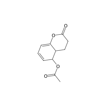 CC(=O)OC1C=CC=C2OC(=O)CCC21